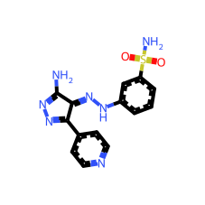 NC1=NN=C(c2ccncc2)/C1=N\Nc1cccc(S(N)(=O)=O)c1